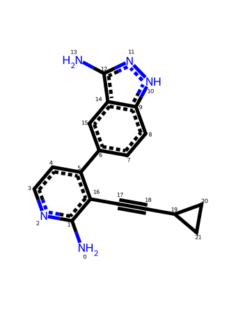 Nc1nccc(-c2ccc3[nH]nc(N)c3c2)c1C#CC1CC1